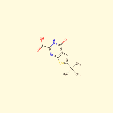 CC(C)(C)c1cc2c(=O)[nH]c(C(=O)O)nc2s1